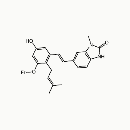 CCOc1cc(O)cc(C=Cc2ccc3[nH]c(=O)n(C)c3c2)c1CC=C(C)C